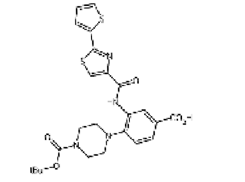 CC(C)(C)OC(=O)N1CCN(c2ccc(C(=O)O)cc2NC(=O)c2csc(-c3cccs3)n2)CC1